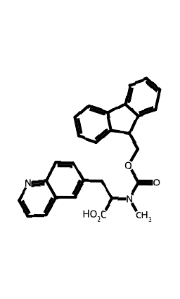 CN(C(=O)OCC1c2ccccc2-c2ccccc21)C(Cc1ccc2ncccc2c1)C(=O)O